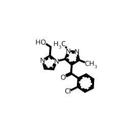 Cc1nn(C)c(-n2ccnc2CO)c1C(=O)c1ccccc1Cl